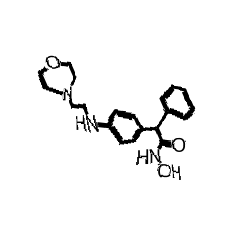 O=C(NO)C(c1ccccc1)c1ccc(NCCN2CCOCC2)cc1